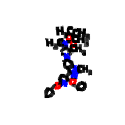 C[C@@H]1CN(c2ccc3c(-c4ccc(OCc5ccccc5)nc4OCc4ccccc4)nn(C)c3c2)CC[C@@H]1N(C)C(=O)OC(C)(C)C